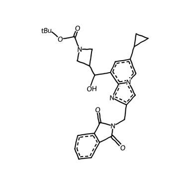 CC(C)(C)OC(=O)N1CC(C(O)c2cc(C3CC3)cn3cc(CN4C(=O)c5ccccc5C4=O)nc23)C1